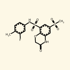 Cc1ccc(NS(=O)(=O)c2cc(S(C)(=O)=O)cc3c2OCC(=O)N3)cc1F